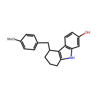 COc1ccc(CC2CCCc3[nH]c4cc(O)ccc4c32)cc1